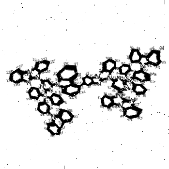 c1ccc([Si](c2ccccc2)(c2cccc(-n3c4ccccc4c4ccccc43)c2)c2nc(-n3c4ccccc4c4c(-c5ccc6c(c5)nc5n(-c7cc(-n8c9ccccc9n9c%10ccccc%10nc89)nc([Si](c8ccccc8)(c8ccccc8)c8cccc(-n9c%10ccccc%10c%10ccccc%109)c8)n7)c7ccccc7n65)cccc43)cc(-n3c4ccccc4n4c5ccccc5nc34)n2)cc1